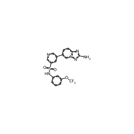 Nc1nc2ccc(-c3cncc(S(=O)(=O)Nc4cccc(OC(F)(F)F)c4)c3)cn2n1